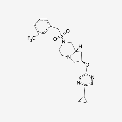 O=S(=O)(Cc1cccc(C(F)(F)F)c1)N1CCN2C[C@H](Oc3cnc(C4CC4)cn3)C[C@H]2C1